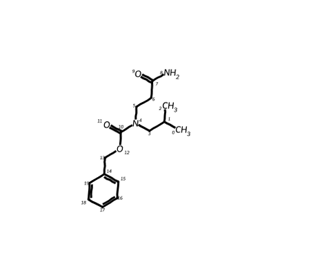 CC(C)CN(CCC(N)=O)C(=O)OCc1ccccc1